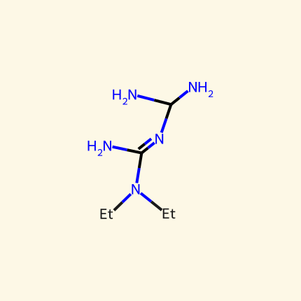 CCN(CC)/C(N)=N/C(N)N